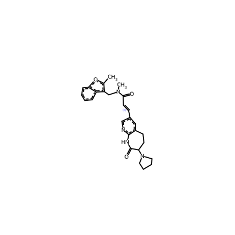 Cc1oc2ccccc2c1CN(C)C(=O)/C=C/c1cnc2c(c1)CCC(N1CCCC1)C(=O)N2